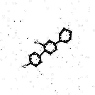 Oc1ccc(-c2ccc(-c3ccccc3)cc2O)cc1